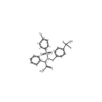 CC(C)(O)c1ccc(CN(C(C(N)=O)c2ccccc2)S(=O)(=O)c2ccc(Cl)cc2)cc1